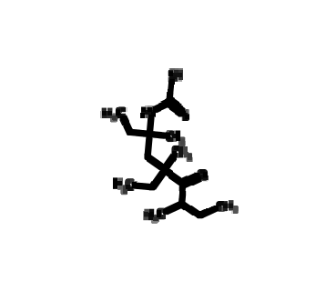 CCC(C)C(=O)C(C)(CC)CC(C)(CC)NC(=S)S